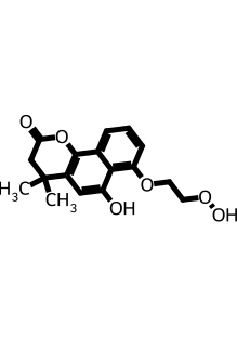 CC1(C)CC(=O)Oc2c1cc(O)c1c(OCCOO)cccc21